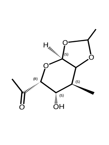 CC(=O)[C@@H]1O[C@H]2OC(C)OC2[C@@H](C)[C@@H]1O